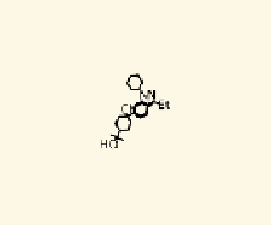 CCc1nn(C2CCCCC2)c2cc(C3(C#N)CCC(C(C)(C)O)CC3)ccc12